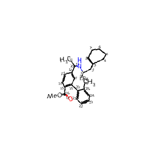 CCCC(CC1CCCCC1)NC(C)c1ccc(C(=O)OC)c(-c2ccccc2C)c1